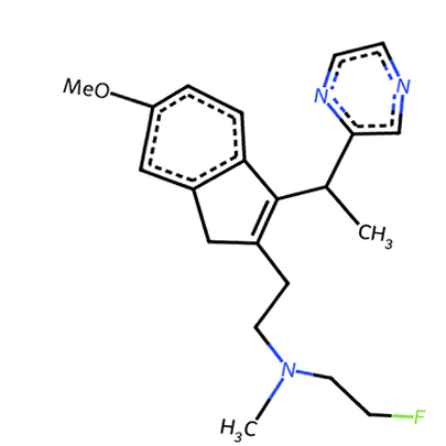 COc1ccc2c(c1)CC(CCN(C)CCF)=C2C(C)c1cnccn1